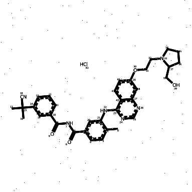 Cc1ccc(C(=O)NC(=O)c2cccc(C(C)(C)C#N)c2)cc1Nc1ncnc2cc(OCCN3CCCC3CO)ccc12.Cl